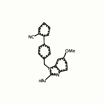 CCCCc1nc2ccc(OC)cc2n1Cc1ccc(-c2ccccc2C#N)cc1